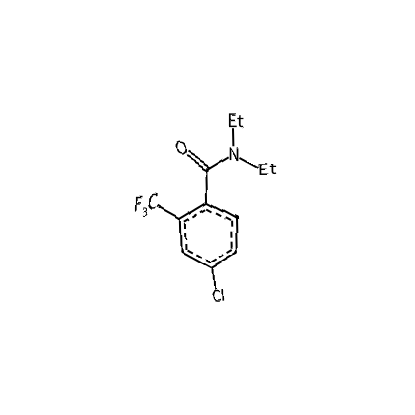 CCN(CC)C(=O)c1ccc(Cl)cc1C(F)(F)F